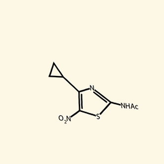 CC(=O)Nc1nc(C2CC2)c([N+](=O)[O-])s1